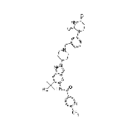 CC(C)(O)c1cc2nn(C3CCN(Cc4cccc(N5CCC(=O)NC5=O)c4)CC3)cc2cc1NC(=O)c1ccc(C(F)(F)F)nc1